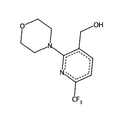 OCc1ccc(C(F)(F)F)nc1N1CCOCC1